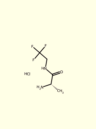 C[C@H](N)C(=O)NCC(F)(F)F.Cl